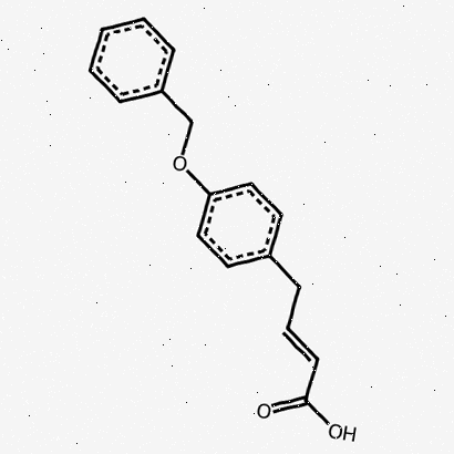 O=C(O)C=CCc1ccc(OCc2ccccc2)cc1